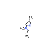 C=C/C=C\N(C)c1ccc(C)cn1